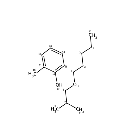 CCCCCOCC(C)C.Cc1ccccc1O